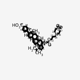 C=C(C)[C@@H]1CC[C@]2(CNC(=O)OCCCN3CCS(=O)(=O)CC3)CC[C@]3(C)[C@H](CC[C@@H]4[C@@]5(C)CC=C(c6ccc(C(=O)O)cc6)C(C)(C)[C@@H]5CC[C@]43C)[C@@H]12